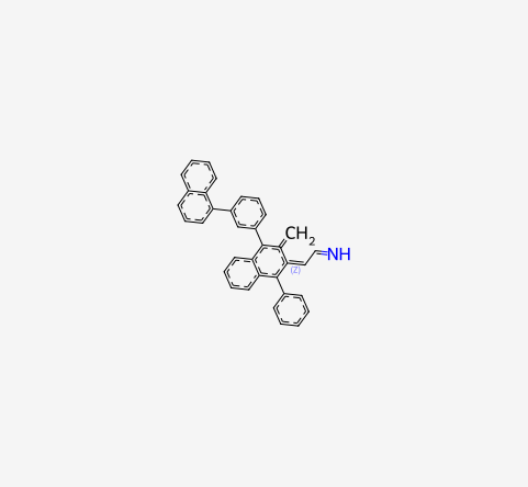 C=c1c(-c2cccc(-c3cccc4ccccc34)c2)c2ccccc2c(-c2ccccc2)/c1=C/C=N